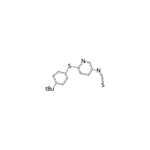 CC(C)(C)c1ccc(Sc2ccc(N=C=S)cn2)cc1